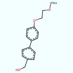 CCCCCCOCCOc1ccc(-c2ccc(CO)cc2)cc1